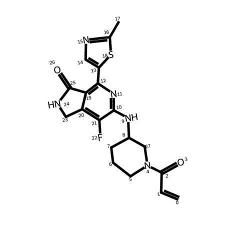 C=CC(=O)N1CCCC(Nc2nc(-c3cnc(C)s3)c3c(c2F)CNC3=O)C1